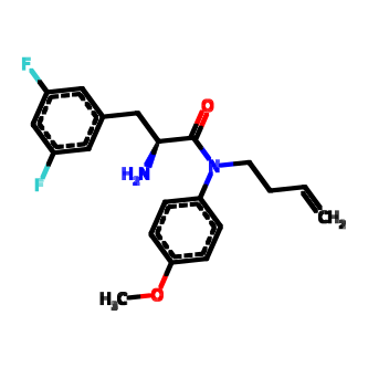 C=CCCN(C(=O)[C@@H](N)Cc1cc(F)cc(F)c1)c1ccc(OC)cc1